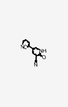 N#Cc1cc(-c2cccnc2)c[nH]c1=O